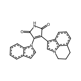 O=C1NC(=O)C(n2ccc3ccccc32)=C1c1cn2c3c(cccc13)CCC2